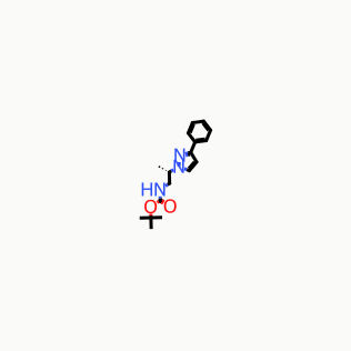 C[C@@H](CNC(=O)OC(C)(C)C)n1ccc(-c2ccccc2)n1